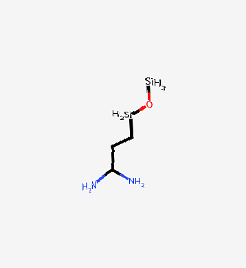 NC(N)CC[SiH2]O[SiH3]